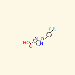 Cn1cc(C(=O)O)c2ccnc(OCc3ccc(C(F)(F)F)cc3)c21